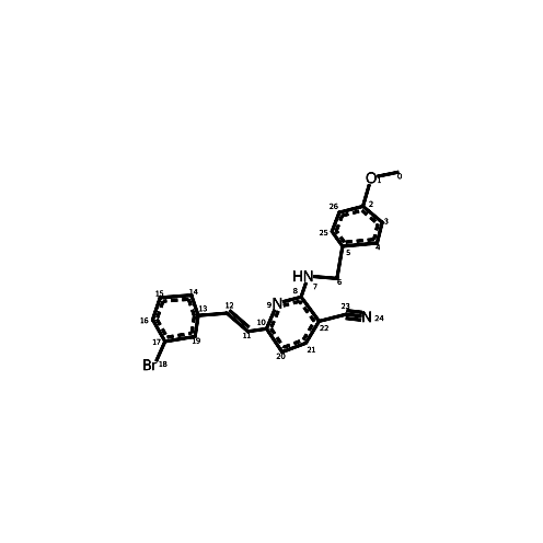 COc1ccc(CNc2nc(C=Cc3cccc(Br)c3)ccc2C#N)cc1